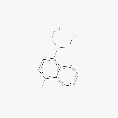 COB(OC)c1ccc(F)c2ccccc12